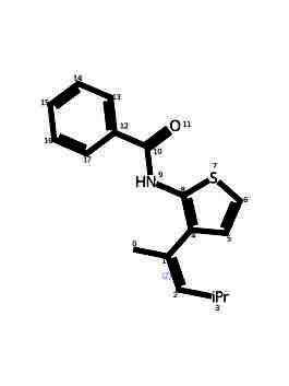 C/C(=C/C(C)C)c1ccsc1NC(=O)c1ccccc1